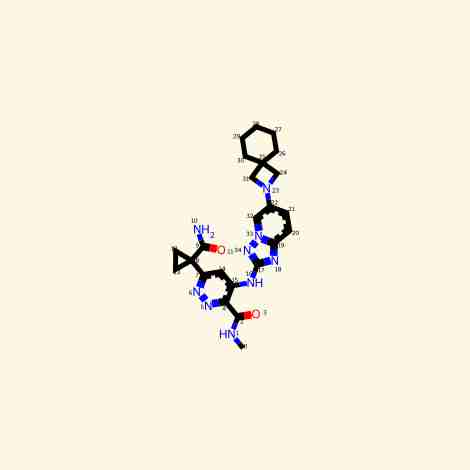 CNC(=O)c1nnc(C2(C(N)=O)CC2)cc1Nc1nc2ccc(N3CC4(CCCCC4)C3)cn2n1